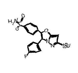 CC(C)(C)c1cc2oc(-c3ccc(S(N)(=O)=O)cc3)c(-c3ccc(F)cc3)n2n1